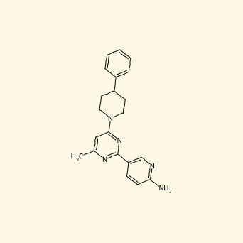 Cc1cc(N2CCC(c3ccccc3)CC2)nc(-c2ccc(N)nc2)n1